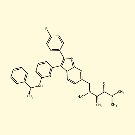 C=C(C(=O)N(C)C)N(C)Cc1ccn2c(-c3ccnc(N[C@@H](C)c4ccccc4)n3)c(-c3ccc(F)cc3)nc2c1